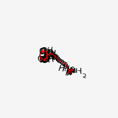 CO[C@H]1C[C@@H]2CC[C@@H](C)[C@@](O)(O2)C(=O)C(=O)N2CCCC[C@H]2C(=O)O[C@H]([C@H](N)C[C@@H]2CC[C@@H](OCCOCc3cn(CCOCCOCCOCCOCCOCCOCCCNCCCCn4nc(-c5ccc6oc(N)nc6c5)c5c(N(C)C)ncnc54)nn3)[C@H](OC)C2)CC(=O)[C@H](C)/C=C(\C)[C@@H](O)[C@@H](OC)C(=O)[C@H](C)C[C@H](C)/C=C/C=C/C=C/1C